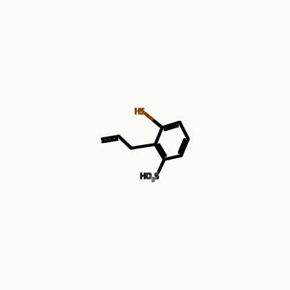 C=CCc1c(S)cccc1S(=O)(=O)O